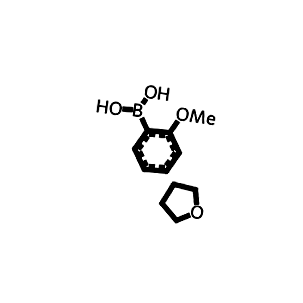 C1CCOC1.COc1ccccc1B(O)O